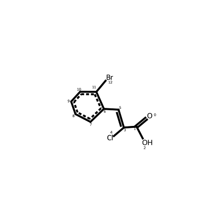 O=C(O)C(Cl)=Cc1ccccc1Br